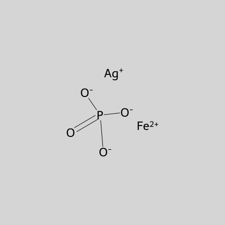 O=P([O-])([O-])[O-].[Ag+].[Fe+2]